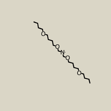 CCCCOCCCCOC[N]COCCCCOCCCC